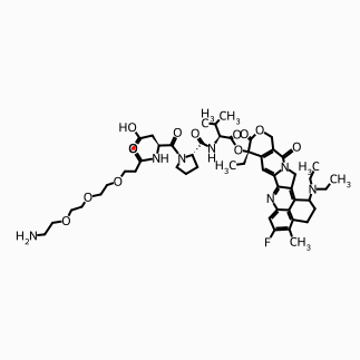 CCN(CC)C1CCc2c(C)c(F)cc3nc4c(c1c23)Cn1c-4cc2c(c1=O)COC(=O)[C@@]2(CC)OC(=O)[C@@H](NC(=O)[C@@H]1CCCN1C(=O)[C@H](CC(=O)O)NC(=O)CCOCCOCCOCCN)C(C)C